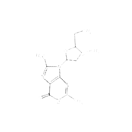 CCC1OC(n2c(C)nc3c(=O)[nH]c(C)nc32)C[C@H]1C